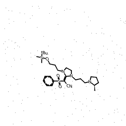 C[C@@H]1CCCN1CCCN1CCN(CCCO[Si](C)(C)C(C)(C)C)/C1=C(/C#N)S(=O)(=O)c1ccccc1